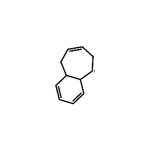 [C]1CC=CCC2C=CC=CC12